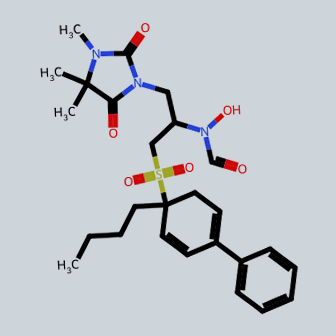 CCCCC1(S(=O)(=O)CC(CN2C(=O)N(C)C(C)(C)C2=O)N(O)C=O)C=CC(c2ccccc2)=CC1